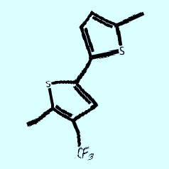 Cc1ccc(-c2cc(C(F)(F)F)c(C)s2)s1